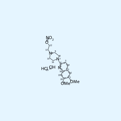 COc1cc2ccc(N3CCN(CCO[N+](=O)[O-])CC3)nc2cc1OC.Cl.Cl